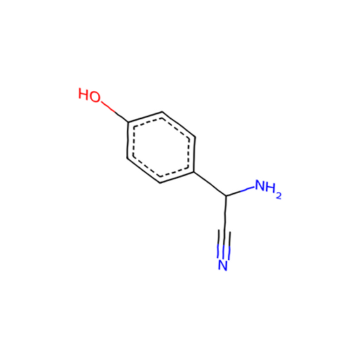 N#CC(N)c1ccc(O)cc1